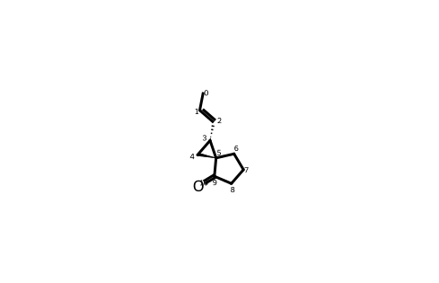 C/C=C/[C@H]1C[C@]12CCCC2=O